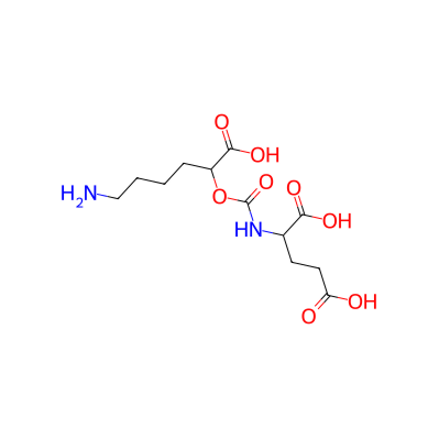 NCCCCC(OC(=O)NC(CCC(=O)O)C(=O)O)C(=O)O